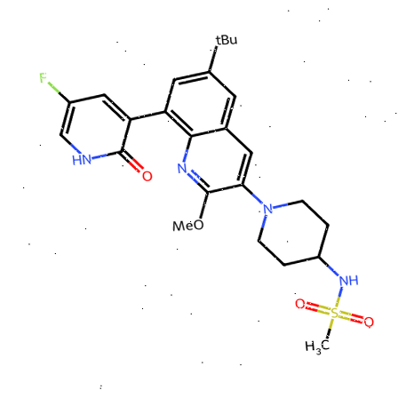 COc1nc2c(-c3cc(F)c[nH]c3=O)cc(C(C)(C)C)cc2cc1N1CCC(NS(C)(=O)=O)CC1